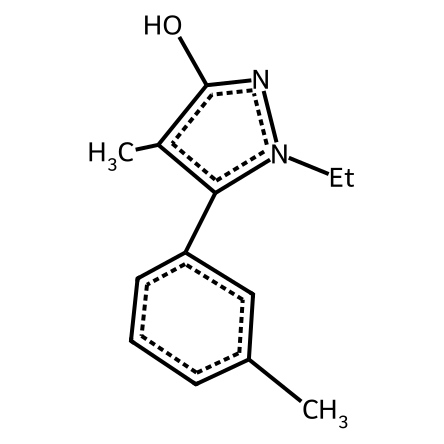 CCn1nc(O)c(C)c1-c1cccc(C)c1